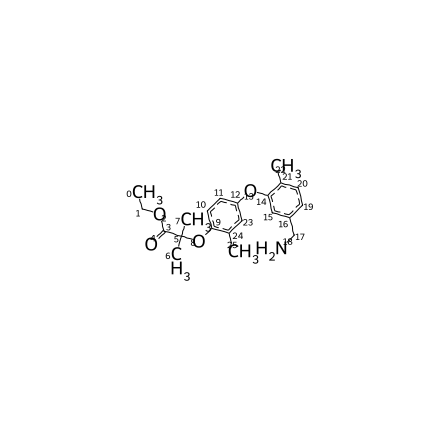 CCOC(=O)C(C)(C)Oc1ccc(Oc2cc(CN)ccc2C)cc1C